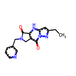 CCc1cc2[nH]c3c(c(=O)n2n1)CN(Cc1cccnc1)C3=O